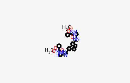 COC(=O)N[C@H](C(=O)N1CCCC1C1=NCC(c2ccc(-c3ccc(-c4cnc([C@@H]5CCCN5C(=O)[C@@H](NC(=O)OC)C5CCCCC5)[nH]4)cc3)c3c2CCC32CCCC2)=N1)C1CCCCC1